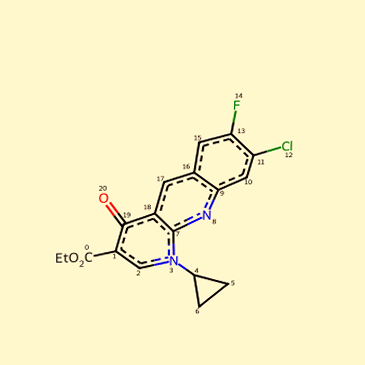 CCOC(=O)c1cn(C2CC2)c2nc3cc(Cl)c(F)cc3cc2c1=O